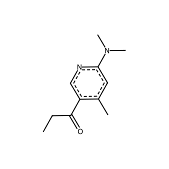 CCC(=O)c1cnc(N(C)C)cc1C